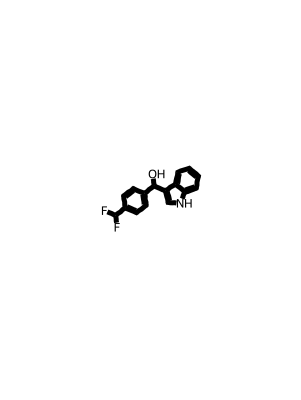 OC(c1ccc(C(F)F)cc1)c1c[nH]c2ccccc12